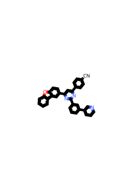 N#Cc1ccc(-c2cc(-c3ccc4oc5ccccc5c4c3)nc(-c3cccc(-c4cccnc4)c3)n2)cc1